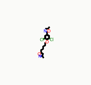 Cc1cc(CCCCCOc2c(Cl)cc(C3=NCC(C)O3)cc2Cl)on1